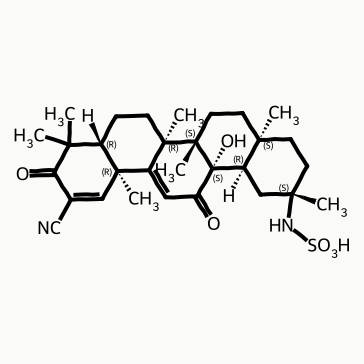 CC1(C)C(=O)C(C#N)=C[C@]2(C)C3=CC(=O)[C@]4(O)[C@@H]5C[C@@](C)(NS(=O)(=O)O)CC[C@]5(C)CC[C@@]4(C)[C@]3(C)CC[C@@H]12